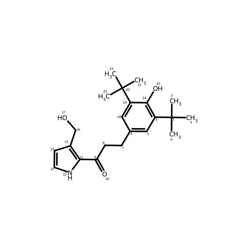 CC(C)(C)c1cc(CCC(=O)c2[nH]ccc2CO)cc(C(C)(C)C)c1O